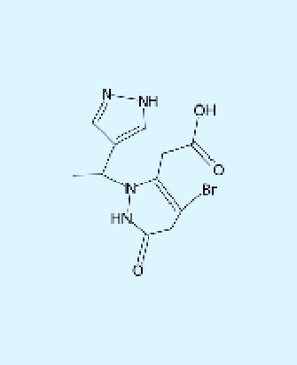 CC(c1cn[nH]c1)N1NC(=O)CC(Br)=C1CC(=O)O